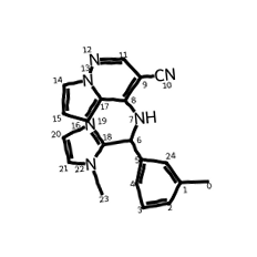 Cc1cccc(C(Nc2c(C#N)cnn3cccc23)c2nccn2C)c1